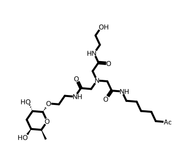 CC(=O)CCCCCNC(=O)CN(CC(=O)NCCO)CC(=O)NCCO[C@@H]1O[C@@H](C)[C@@H](O)C[C@@H]1O